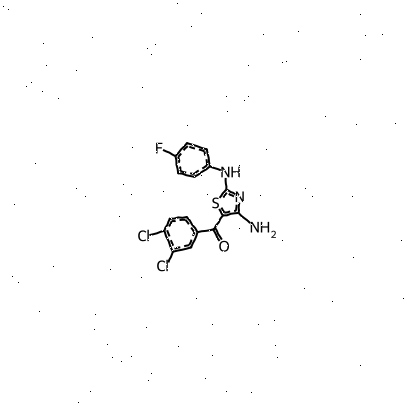 Nc1nc(Nc2ccc(F)cc2)sc1C(=O)c1ccc(Cl)c(Cl)c1